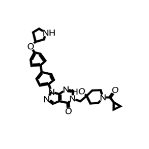 O=C(C1CC1)N1CCC(O)(Cn2cnc3c(cnn3-c3ccc(-c4ccc(OC5CCNC5)cc4)cc3)c2=O)CC1